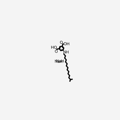 CC(C)CCCCCCCCCCCCCNc1cc(C(=O)O)cc(C(=O)O)c1.[NaH].[NaH]